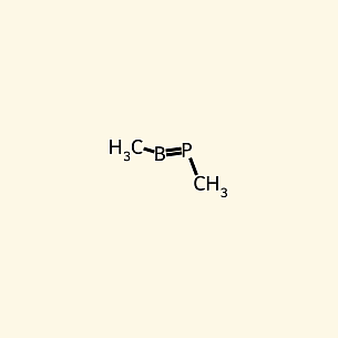 C/B=P\C